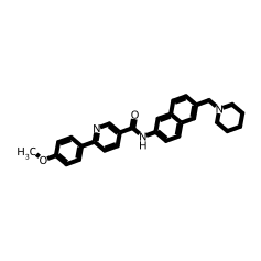 COc1ccc(-c2ccc(C(=O)Nc3ccc4cc(CN5CCCCC5)ccc4c3)cn2)cc1